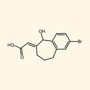 O=C(O)/C=C1\CCCc2cc(Br)ccc2C1O